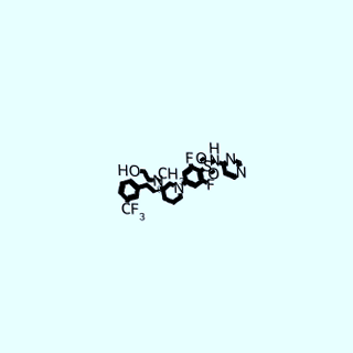 CN(CCO)[C@@]1(CCc2cccc(C(F)(F)F)c2)CCCN(c2cc(F)c(S(=O)(=O)Nc3ccncn3)c(F)c2)C1